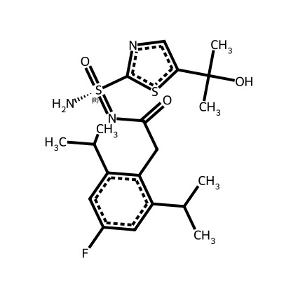 CC(C)c1cc(F)cc(C(C)C)c1CC(=O)N=[S@@](N)(=O)c1ncc(C(C)(C)O)s1